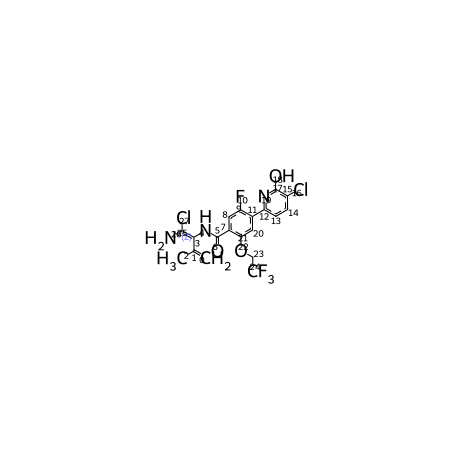 C=C(C)/C(NC(=O)c1cc(F)c(-c2ccc(Cl)c(O)n2)cc1OCC(F)(F)F)=C(\N)Cl